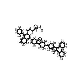 C/C=C\C=C/c1cc(-c2ccc3c(c2)oc2cc(-c4ccc5c(c4)sc4c6ccccc6c6ccccc6c54)ccc23)c2ccccc2c1-c1ccccc1